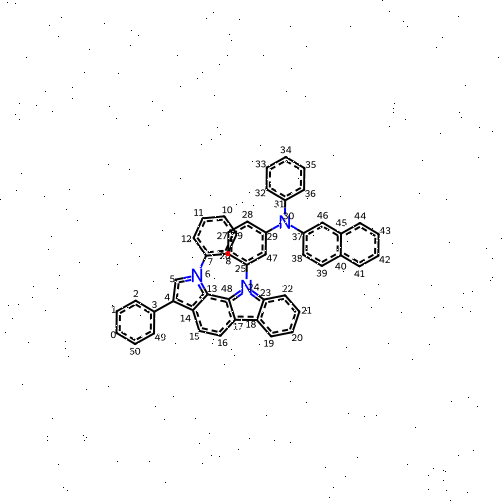 c1ccc(-c2cn(-c3ccccc3)c3c2ccc2c4ccccc4n(-c4cccc(N(c5ccccc5)c5ccc6ccccc6c5)c4)c23)cc1